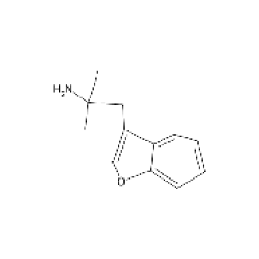 CC(C)(N)Cc1coc2ccccc12